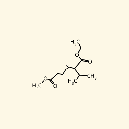 CCOC(=O)C(SCCC(=O)OC)C(C)C